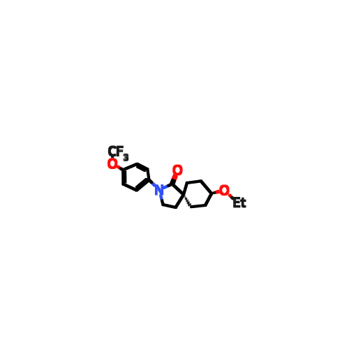 CCO[C@H]1CC[C@@]2(CCN(c3ccc(OC(F)(F)F)cc3)C2=O)CC1